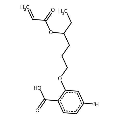 [2H]c1ccc(C(=O)O)c(OCCCC(CC)OC(=O)C=C)c1